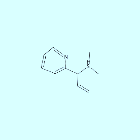 C=CC(c1ccccn1)[SiH](C)C